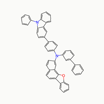 c1ccc(-c2cccc(N(c3ccc(-c4ccc5c(c4)c4ccccc4n5-c4ccccc4)cc3)c3ccc4ccc5c6ccccc6oc5c4c3)c2)cc1